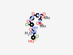 Cn1c(-c2ccc(O)c(F)c2Cl)cnc1C(=O)Nc1ccc(C(=O)N2CCN(C(=O)C3CC[N+](CC(=O)OC(C)(C)C)(CC4CN(C(=O)OC(C)(C)C)C4)CC3)CC2)c(Cl)c1